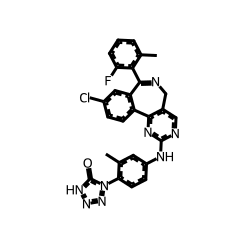 Cc1cc(Nc2ncc3c(n2)-c2ccc(Cl)cc2C(c2c(C)cccc2F)=NC3)ccc1-n1nn[nH]c1=O